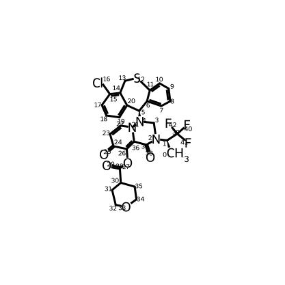 C[C@@H](N1CN([C@@H]2c3ccccc3SCc3c(Cl)cccc32)n2ccc(=O)c(OC(=O)C3CCOCC3)c2C1=O)C(F)(F)F